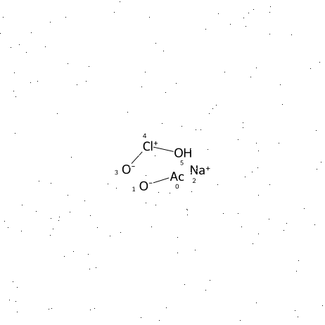 CC(=O)[O-].[Na+].[O-][Cl+]O